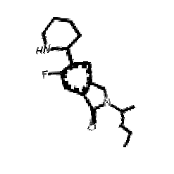 CCCC(C)N1Cc2cc(C3CCCCN3)c(F)cc2C1=O